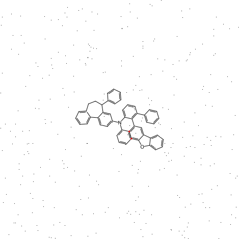 c1ccc(-c2cccc(N(c3ccccc3)c3ccc4c(c3)C(c3ccccc3)CCc3ccccc3-4)c2-c2ccc3oc4ccccc4c3c2)cc1